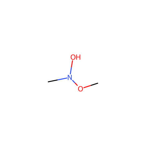 CON(C)O